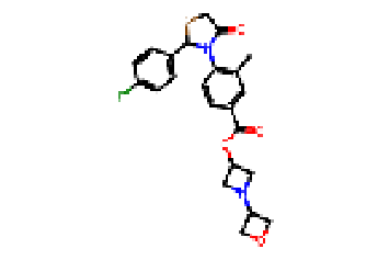 Cc1cc(C(=O)OC2CN(C3COC3)C2)ccc1N1C(=O)CSC1c1ccc(F)cc1